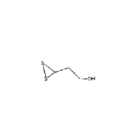 OCCC1SS1